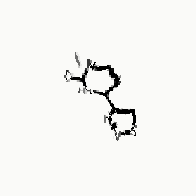 O=C1NCCC(c2csnn2)N1